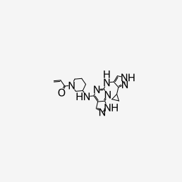 C=CC(=O)N1CCC[C@@H](Nc2nc(Nc3c[nH]nc3C3CC3)nc3[nH]ncc23)C1